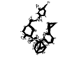 O=C(Nc1ccc(F)c(F)c1)c1ccc(Cl)c(S(=O)(=O)C2CC3CC(C2)C3(O)C(O)c2cccc(C3CC3)n2)c1